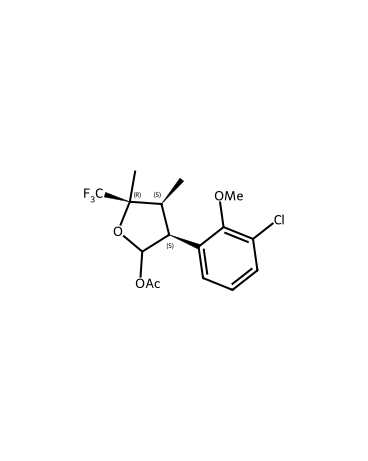 COc1c(Cl)cccc1[C@H]1C(OC(C)=O)O[C@@](C)(C(F)(F)F)[C@H]1C